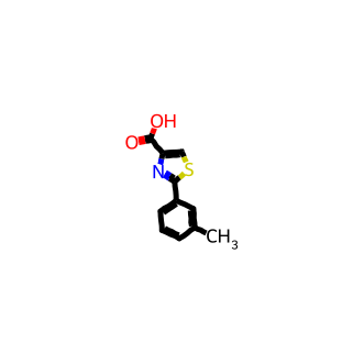 Cc1cccc(-c2nc(C(=O)O)cs2)c1